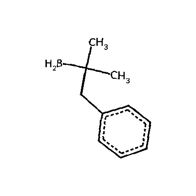 BC(C)(C)Cc1ccccc1